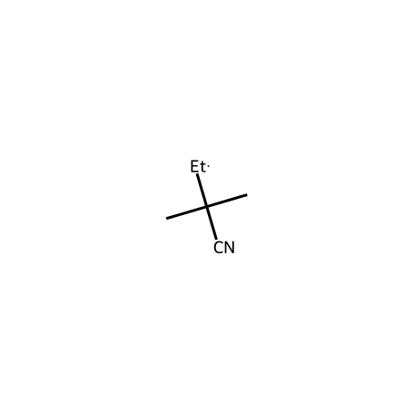 C[CH]C(C)(C)C#N